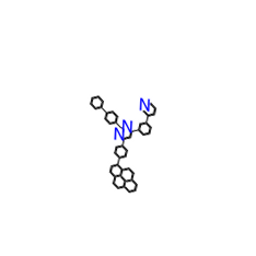 c1ccc(-c2ccc(-c3nc(-c4ccc(-c5ccc6ccc7cccc8ccc5c6c78)cc4)cc(-c4cccc(-c5cccnc5)c4)n3)cc2)cc1